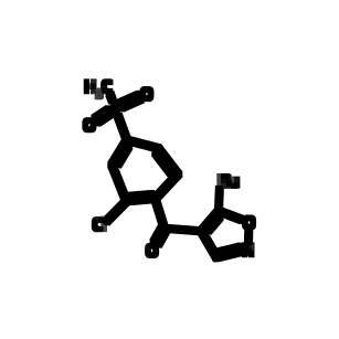 CCC(C)c1oncc1C(=O)c1ccc(S(C)(=O)=O)cc1Cl